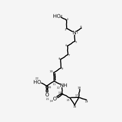 CN(CCO)CCCCC/C=C(\NC(=O)C1CC1(C)C)C(=O)O